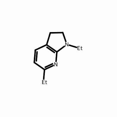 CCc1ccc2c(n1)N(CC)CC2